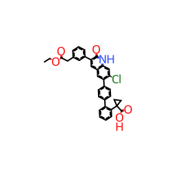 CCOC(=O)Cc1cccc(-c2cc3cc(-c4ccc(-c5ccccc5C5(C(=O)O)CC5)cc4)c(Cl)cc3[nH]c2=O)c1